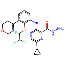 NNC(=O)c1nc(C2CC2)cnc1Nc1cccc(C2=CCOCC2)c1OC(F)C(F)F